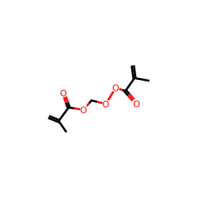 C=C(C)C(=O)OCOOC(=O)C(=C)C